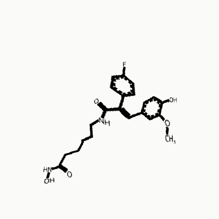 COc1cc(/C=C(/C(=O)NCCCCCC(=O)NO)c2ccc(F)cc2)ccc1O